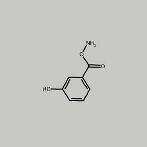 NOC(=O)c1cccc(O)c1